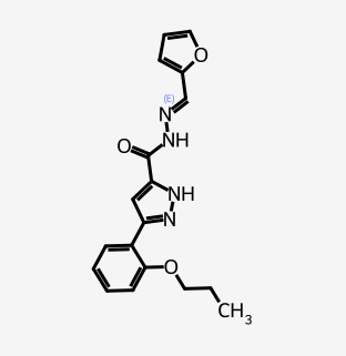 CCCOc1ccccc1-c1cc(C(=O)N/N=C/c2ccco2)[nH]n1